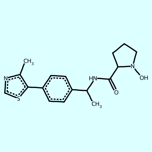 Cc1ncsc1-c1ccc(C(C)NC(=O)C2CCCN2O)cc1